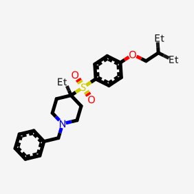 [CH2]CC1(S(=O)(=O)c2ccc(OCC(CC)CC)cc2)CCN(Cc2ccccc2)CC1